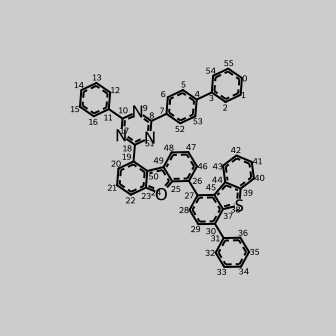 c1ccc(-c2ccc(-c3nc(-c4ccccc4)nc(-c4cccc5oc6c(-c7ccc(-c8ccccc8)c8sc9ccccc9c78)cccc6c45)n3)cc2)cc1